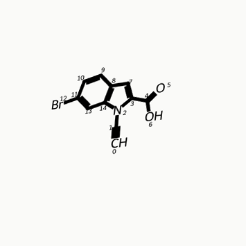 C#Cn1c(C(=O)O)cc2ccc(Br)cc21